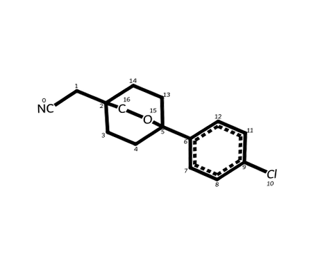 N#CCC12CCC(c3ccc(Cl)cc3)(CC1)OC2